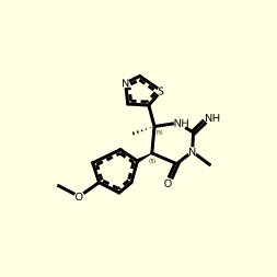 COc1ccc([C@@H]2C(=O)N(C)C(=N)N[C@]2(C)c2cncs2)cc1